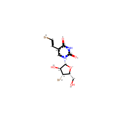 O=c1[nH]c(=O)n([C@@H]2O[C@H](CO)[C@H](Br)[C@H]2O)cc1/C=C/Br